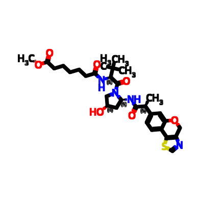 COC(=O)CCCCCC(=O)N[C@H](C(=O)N1C[C@H](O)C[C@H]1NC(=O)[C@@H](C)c1ccc2c(c1)OCc1ncsc1-2)C(C)(C)C